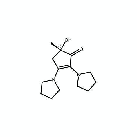 C[C@]1(O)CC(N2CCCC2)=C(N2CCCC2)C1=O